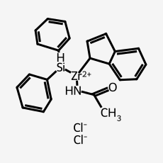 CC(=O)[NH][Zr+2]([CH]1C=Cc2ccccc21)[SiH](c1ccccc1)c1ccccc1.[Cl-].[Cl-]